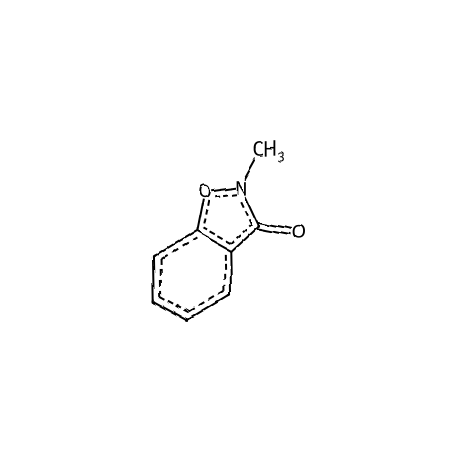 Cn1oc2ccccc2c1=O